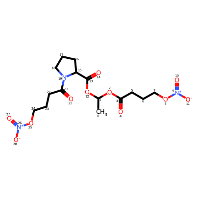 CC(OC(=O)CCCO[N+](=O)[O-])OC(=O)C1CCCN1C(=O)CCCO[N+](=O)[O-]